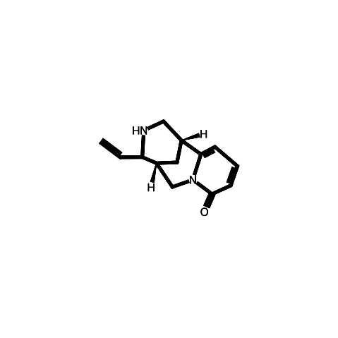 C=CC1NC[C@H]2C[C@@H]1Cn1c2cccc1=O